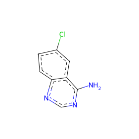 Nc1ncnc2ccc(Cl)cc12